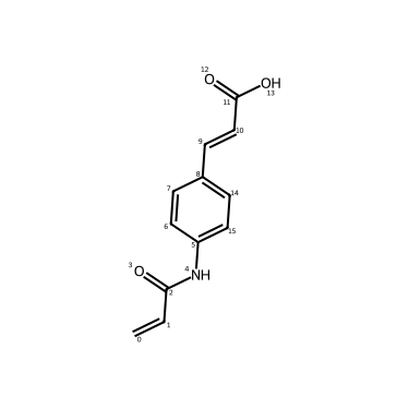 C=CC(=O)Nc1ccc(/C=C/C(=O)O)cc1